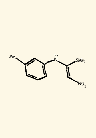 CSC(=C[N+](=O)[O-])Nc1cccc(C(C)=O)c1